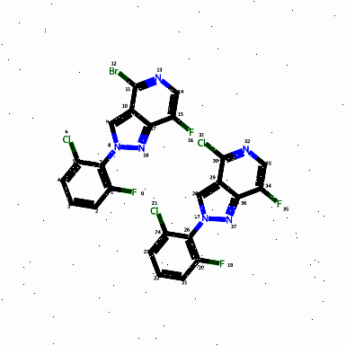 Fc1cccc(Cl)c1-n1cc2c(Br)ncc(F)c2n1.Fc1cccc(Cl)c1-n1cc2c(Cl)ncc(F)c2n1